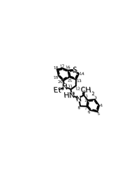 C=C1c2ccccc2CN1NC1Cc2csc3cccc(c23)N1CC